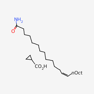 CCCCCCCC/C=C\CCCCCCCCCCCC(N)=O.O=C(O)C1CC1